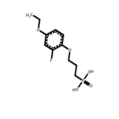 CCOc1ccc(OCCCP(=O)(O)O)c(F)c1